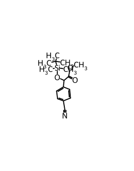 COC(=O)C(O[Si](C)(C)C(C)(C)C)c1ccc(C#N)cc1